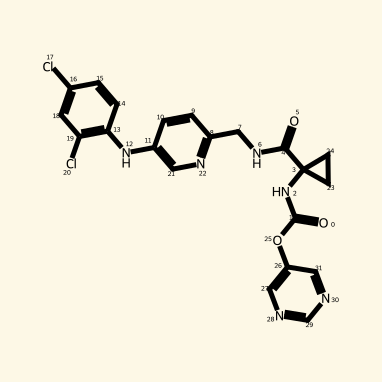 O=C(NC1(C(=O)NCc2ccc(Nc3ccc(Cl)cc3Cl)cn2)CC1)Oc1cncnc1